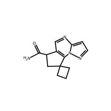 NC(=O)C1CC2(CCC2)c2c1cnc1ccnn21